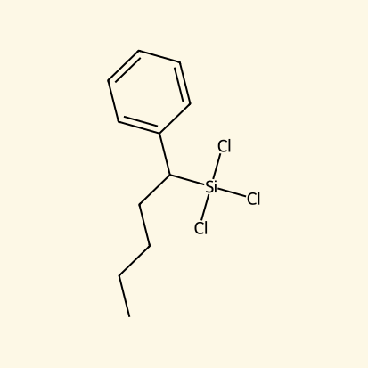 CCCCC(c1ccccc1)[Si](Cl)(Cl)Cl